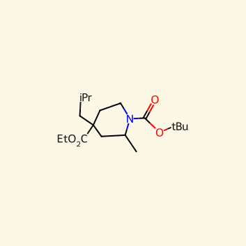 CCOC(=O)C1(CC(C)C)CCN(C(=O)OC(C)(C)C)C(C)C1